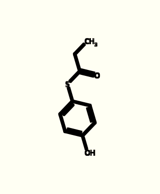 CCC(=O)Sc1ccc(O)cc1